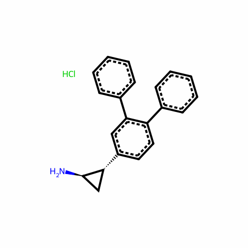 Cl.N[C@@H]1C[C@H]1c1ccc(-c2ccccc2)c(-c2ccccc2)c1